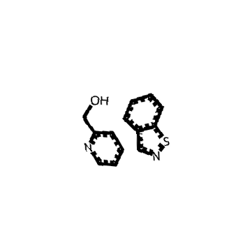 OCc1ccccn1.c1ccc2sncc2c1